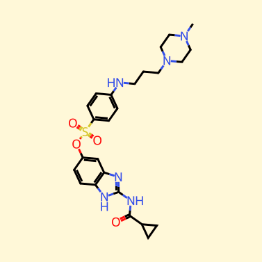 CN1CCN(CCCNc2ccc(S(=O)(=O)Oc3ccc4[nH]c(NC(=O)C5CC5)nc4c3)cc2)CC1